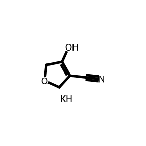 N#CC1=C(O)COC1.[KH]